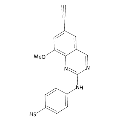 C#Cc1cc(OC)c2nc(Nc3ccc(S)cc3)ncc2c1